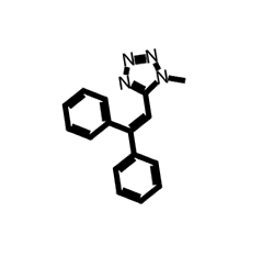 Cn1nnnc1C=C(c1ccccc1)c1ccccc1